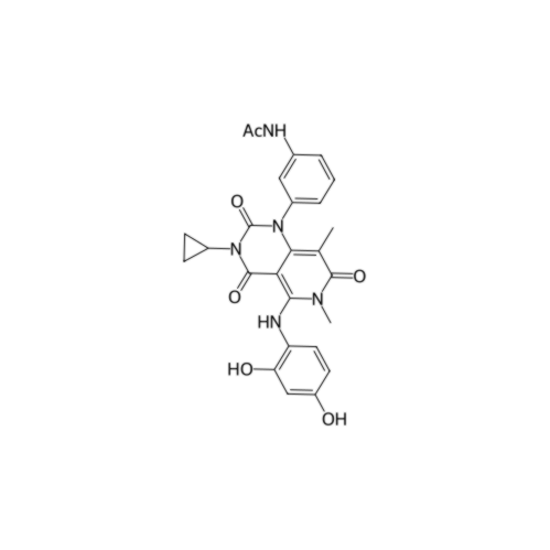 CC(=O)Nc1cccc(-n2c(=O)n(C3CC3)c(=O)c3c(Nc4ccc(O)cc4O)n(C)c(=O)c(C)c32)c1